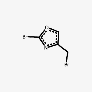 BrCc1coc(Br)n1